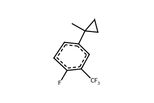 CC1(c2ccc(F)c(C(F)(F)F)c2)[CH]C1